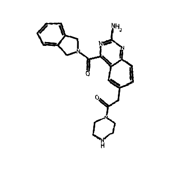 Nc1nc(C(=O)N2Cc3ccccc3C2)c2cc(CC(=O)N3CCNCC3)ccc2n1